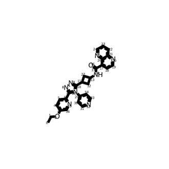 CCOc1ccc(-c2nnc(C3CC(NC(=O)c4ccnc5cccnc45)C3)n2-c2ccncc2)nc1